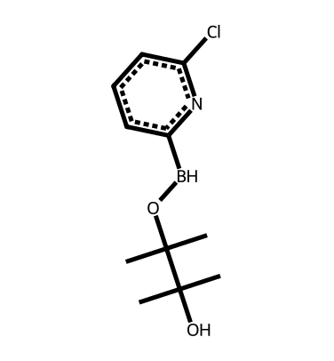 CC(C)(O)C(C)(C)OBc1cccc(Cl)n1